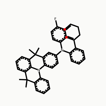 CC1(C)c2ccccc2N2c3ccc(N(c4ccc(F)cc4)c4ccccc4C4=CC=CCC4)cc3C(C)(C)c3cccc1c32